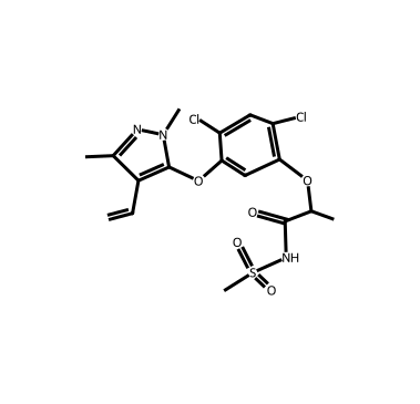 C=Cc1c(C)nn(C)c1Oc1cc(OC(C)C(=O)NS(C)(=O)=O)c(Cl)cc1Cl